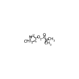 CN(C)C(=O)COc1ccc(Cl)nc1